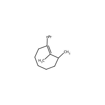 [CH2]CC/C1=C(/C)C(C)CCCCC1